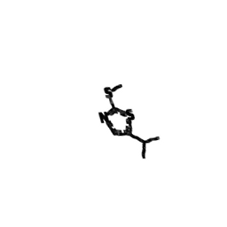 CSc1ncc(C(C)C)s1